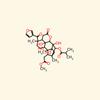 COC(=O)CC1C2(C)CC3(O)C(O)(C2OC(=O)C(C)C)C2OC(=O)CC4C(C)(C(=O)c5ccoc5)CCC(O)(C42O)C13C